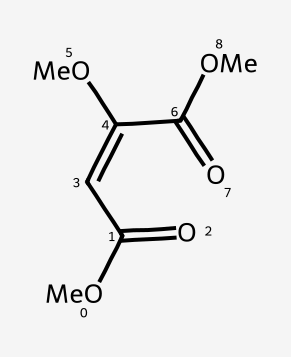 COC(=O)/C=C(/OC)C(=O)OC